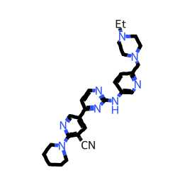 CCN1CCN(Cc2ccc(Nc3nccc(-c4cnc(N5CCCCC5)c(C#N)c4)n3)cn2)CC1